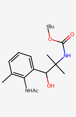 CC(=O)Nc1c(C)cccc1C(O)C(C)(C)NC(=O)OC(C)(C)C